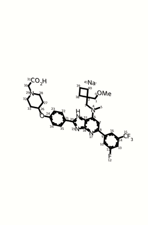 COCC1(CN(C)c2cc(-c3cc(F)cc(C(F)(F)F)c3)nc3nc(-c4ccc(OC5CCN(CC(=O)O)CC5)cc4)[nH]c23)CCC1.[Na]